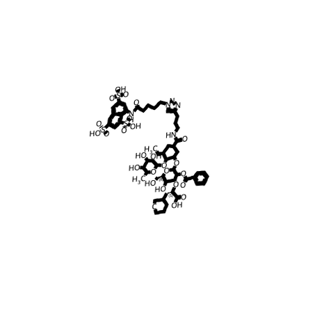 CCC1CC(C(=O)NCCCc2cn(CCCCC(=O)Nc3cc(S(=O)(=O)O)cc4cc(S(=O)(=O)O)cc(S(=O)(=O)O)c34)nn2)CC(OC2O[C@H](CO)C(O)C(O[C@@H](CC3CCCCC3)C(=O)O)C2OC(=O)c2ccccc2)C1OC1OC(C)C(O)C(O)C1O